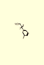 OCC(F)(F)c1c[c]cc(F)c1